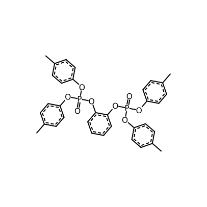 Cc1ccc(OP(=O)(Oc2ccc(C)cc2)Oc2ccccc2OP(=O)(Oc2ccc(C)cc2)Oc2ccc(C)cc2)cc1